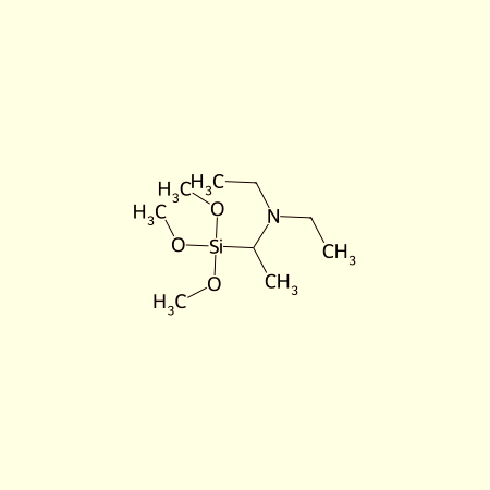 CCN(CC)C(C)[Si](OC)(OC)OC